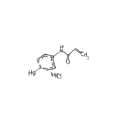 C=CC(=O)Nc1cc[c]([Hg])cc1.Cl